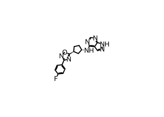 Fc1ccc(-c2noc([C@H]3CC[C@H](Nc4ncnc5[nH]ncc45)C3)n2)cc1